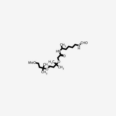 COCCC(C)(C)OCCC(C)(C)OCC(=O)NC(C)CCCCNC=O